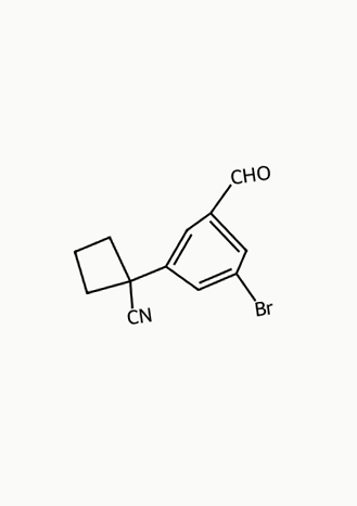 N#CC1(c2cc(Br)cc(C=O)c2)CCC1